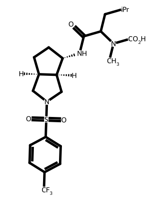 CC(C)CC(C(=O)N[C@H]1CC[C@@H]2CN(S(=O)(=O)c3ccc(C(F)(F)F)cc3)C[C@@H]21)N(C)C(=O)O